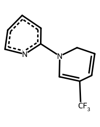 FC(F)(F)C1=CN(c2ccccn2)CC=C1